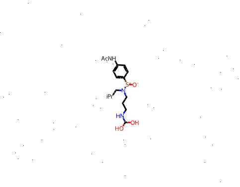 CC(=O)Nc1ccc([S+]([O-])N(CCCNC(O)O)CC(C)C)cc1